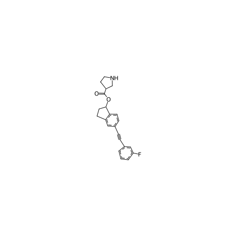 O=C(OC1CCc2cc(C#Cc3cccc(F)c3)ccc21)C1CCNC1